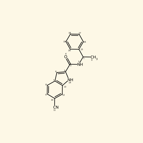 CC(NC(=O)c1cc2ccc(C#N)cc2[nH]1)c1ccccc1